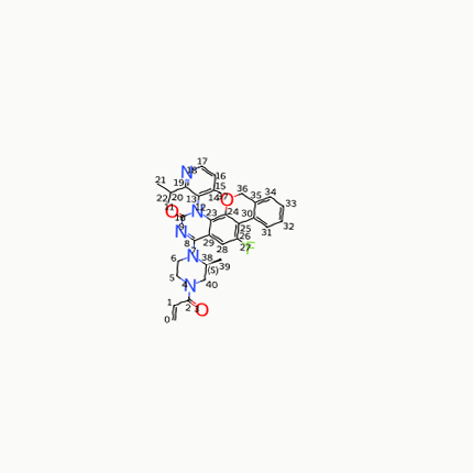 C=CC(=O)N1CCN(c2nc(=O)n(-c3c(C)ccnc3C(C)C)c3c4c(c(F)cc23)-c2ccccc2CO4)[C@@H](C)C1